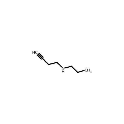 C#CC[CH]NCCC